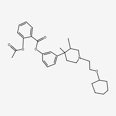 CC(=O)Oc1ccccc1C(=O)Oc1cccc(C2(C)CCN(CCOC3CCCCC3)CC2C)c1